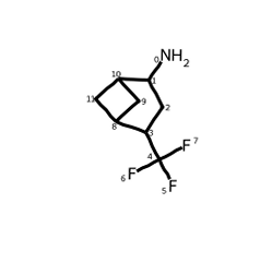 NC1CC(C(F)(F)F)C2CC1C2